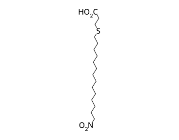 O=C(O)CCSCCCCCCCCCCCCCC[N+](=O)[O-]